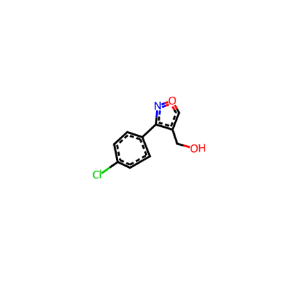 OCc1conc1-c1ccc(Cl)cc1